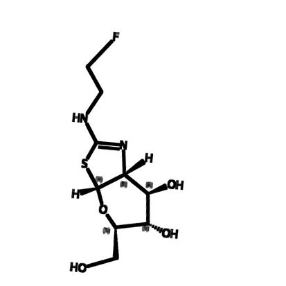 OC[C@H]1O[C@@H]2SC(NCCF)=N[C@@H]2[C@@H](O)[C@@H]1O